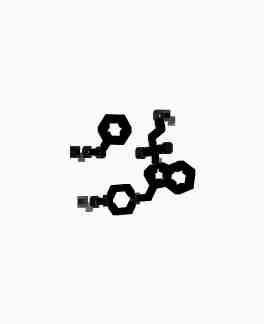 C=CCS(=O)(=O)n1cc(CN2CCN(C)CC2)c2ccccc21.COc1ccccc1